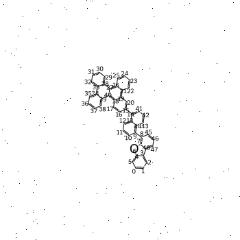 c1ccc2c(c1)oc1c(-c3cccc4c(-c5ccc6c(c5)c5ccccc5c5c7ccccc7c7ccccc7c65)cccc34)cccc12